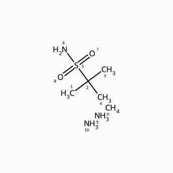 C.CC(C)(C)S(N)(=O)=O.N.N